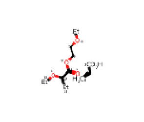 C=CC(=O)O.CCOCCOC(=O)C(CC)OCC